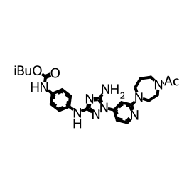 CC(=O)N1CCCN(c2cc(-n3nc(Nc4ccc(NC(=O)OCC(C)C)cc4)nc3N)ccn2)CC1